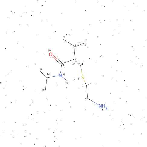 CC(C)[C@H](CSCCN)C(=O)N(C)C(C)C